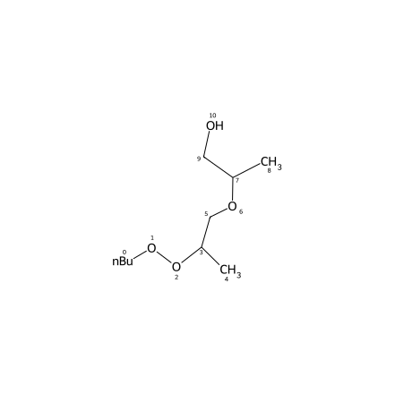 CCCCOOC(C)COC(C)CO